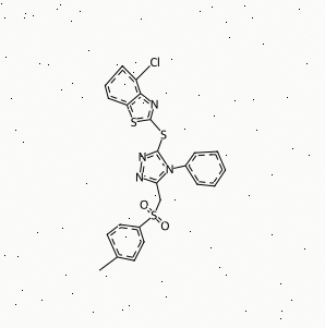 Cc1ccc(S(=O)(=O)Cc2nnc(Sc3nc4c(Cl)cccc4s3)n2-c2ccccc2)cc1